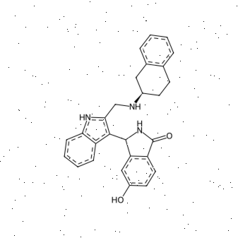 O=C1NC(c2c(CN[C@@H]3CCc4ccccc4C3)[nH]c3ccccc23)c2cc(O)ccc21